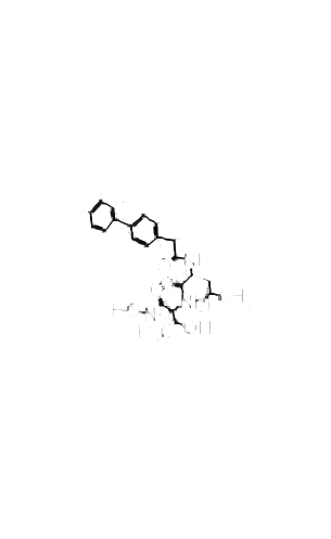 CC(C)C[C@H](NC(=O)Cc1ccc(-c2ccccc2)cc1)C(=O)NC(C(=O)NO)[C@@H](C)O